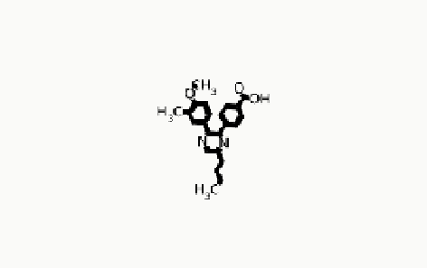 CCCCc1cnc(-c2ccc(OC)c(C)c2)c(-c2ccc(C(=O)O)cc2)n1